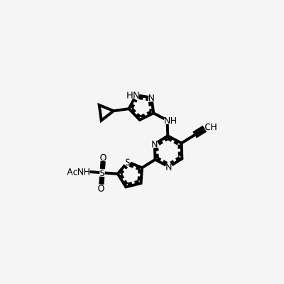 C#Cc1cnc(-c2ccc(S(=O)(=O)NC(C)=O)s2)nc1Nc1cc(C2CC2)[nH]n1